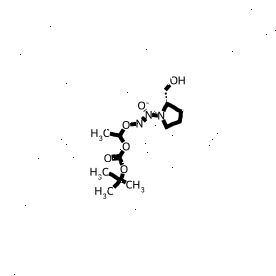 CC(O/N=[N+](\[O-])N1CCC[C@H]1CO)OC(=O)OC(C)(C)C